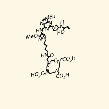 C=CC(=O)N[C@@H]1CN(c2nc(Nc3cn(CCCCCNC(=O)CN4CCN(CC(=O)O)CCN(CC(=O)O)CCN(CC(=O)O)CC4)nc3OC)c3ncn(C(C)(C)C)c3n2)C[C@H]1F